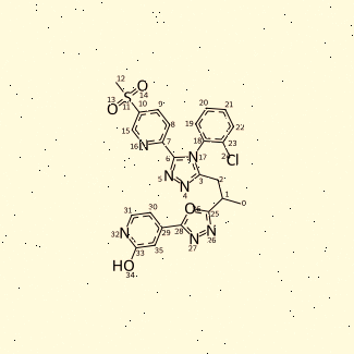 CC(Cc1nnc(-c2ccc(S(C)(=O)=O)cn2)n1-c1ccccc1Cl)c1nnc(-c2ccnc(O)c2)o1